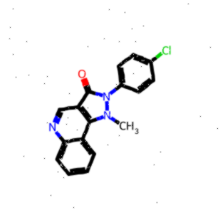 Cn1c2c(cnc3ccccc32)c(=O)n1-c1ccc(Cl)cc1